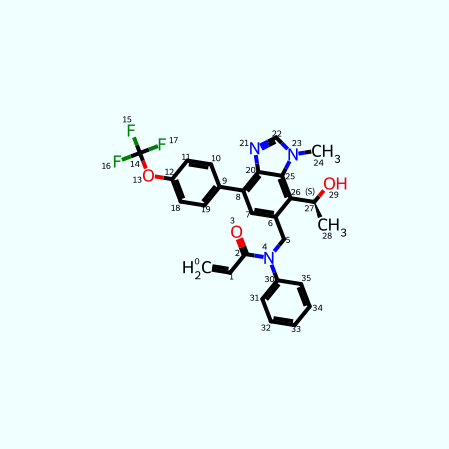 C=CC(=O)N(Cc1cc(-c2ccc(OC(F)(F)F)cc2)c2ncn(C)c2c1[C@H](C)O)c1ccccc1